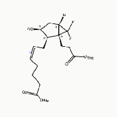 CCCCCC(=O)CC[C@]12[C@H](C[C@H](O)[C@@H]1C/C=C\CCCC(=O)OC)C2(F)F